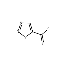 O=C([S])c1cnns1